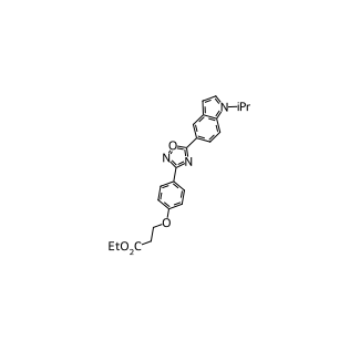 CCOC(=O)CCOc1ccc(-c2noc(-c3ccc4c(ccn4C(C)C)c3)n2)cc1